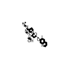 CN(C)/C=N/c1ncnc2c1ccn2[C@@H]1O[C@H](COc2cc3ncccc3cc2I)C[C@H]1OC(C)(C)O